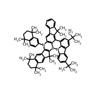 CC(C)(C)c1ccc2c(c1)c1cc(C(C)(C)C)cc3c1n2B1C2=C(c4cc5c(cc4C2(C)C)C(C)(C)CCC5(C)C)N(c2ccc4c(c2)C(C)(C)CCC4(C)C)c2cc4c(c-3c21)C(C)(C)c1ccccc1-4